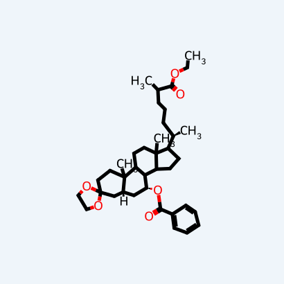 CCOC(=O)C(C)CCC[C@@H](C)C1CCC2C3C(CCC21C)C1(C)CCC2(C[C@@H]1C[C@H]3OC(=O)c1ccccc1)OCCO2